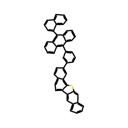 c1cc(-c2ccc3ccc4c5cc6ccccc6cc5sc4c3c2)cc(-c2c3ccccc3c(-c3cccc4ccccc34)c3ccccc23)c1